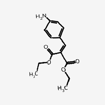 CCOC(=O)C(=Cc1ccc(N)cc1)C(=O)OCC